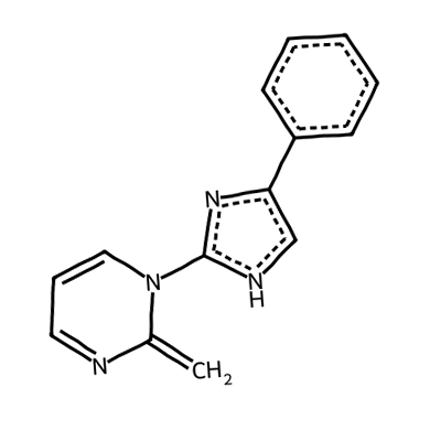 C=C1N=CC=CN1c1nc(-c2ccccc2)c[nH]1